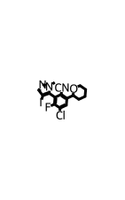 Cn1ncc(I)c1-c1c(F)c(Cl)cc(C2CCCCO2)c1C#N